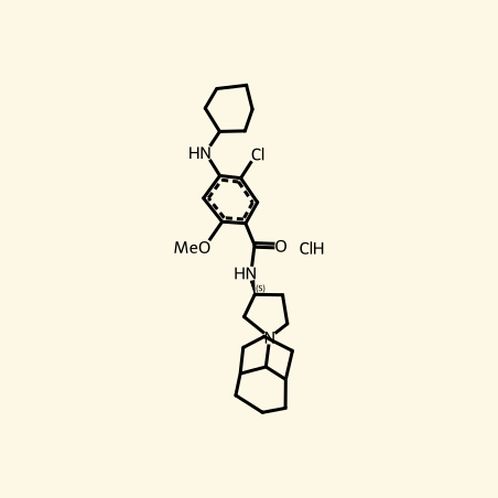 COc1cc(NC2CCCCC2)c(Cl)cc1C(=O)N[C@H]1CCN(C2C3CCCC2CCC3)C1.Cl